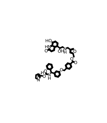 O=C(N[C@@H](c1ccccc1)c1cccc(OCc2ccc(C(=O)OCc3cc(CNC[C@H](O)c4ccc(O)c5[nH]c(=O)ccc45)co3)cc2)c1)O[C@H]1CN2CCC1CC2